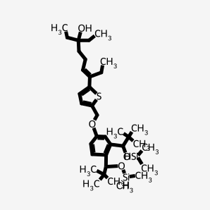 CC/C(=C\CCC(O)(CC)CC)c1ccc(COc2ccc(C(O[SiH](C)C)C(C)(C)C)c(C(O[SiH](C)C)C(C)(C)C)c2)s1